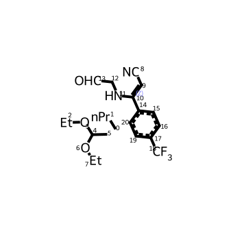 CCCC.CCOC(C)OCC.N#C/C=C(\NCC=O)c1ccc(C(F)(F)F)cc1